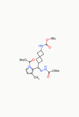 COC(=O)N/N=C(/c1c(C)ccn1C(=O)OC)C1CC2(CC(NC(=O)OC(C)(C)C)C2)C1